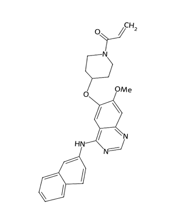 C=CC(=O)N1CCC(Oc2cc3c(Nc4ccc5ccccc5c4)ncnc3cc2OC)CC1